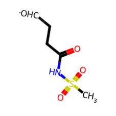 CS(=O)(=O)NC(=O)CC[C]=O